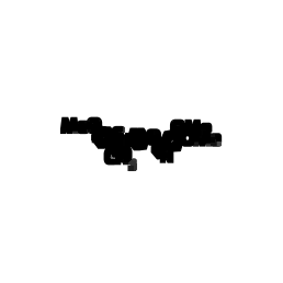 COc1ccc(N(C)C(=O)N(C)c2ccc(Oc3ccnc4cc(OC)c(OC)cc34)cc2)cc1